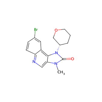 Cn1c(=O)n([C@H]2CCCOC2)c2c3cc(Br)ccc3ncc21